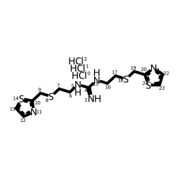 Cl.Cl.Cl.N=C(NCCSCc1nccs1)NCCSCc1nccs1